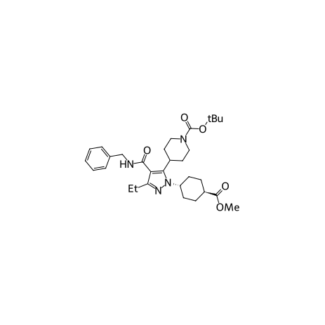 CCc1nn([C@H]2CC[C@H](C(=O)OC)CC2)c(C2CCN(C(=O)OC(C)(C)C)CC2)c1C(=O)NCc1ccccc1